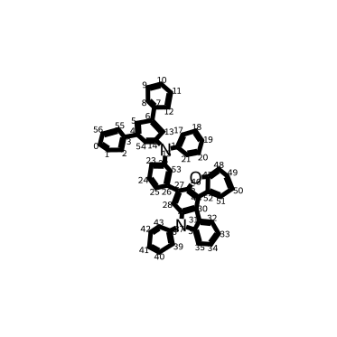 c1ccc(-c2cc(-c3ccccc3)cc(N(c3ccccc3)c3cccc(-c4cc5c(c6ccccc6n5-c5ccccc5)c5c4oc4ccccc45)c3)c2)cc1